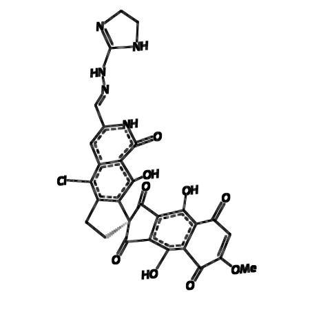 COC1=CC(=O)c2c(O)c3c(c(O)c2C1=O)C(=O)[C@]1(CCc2c1c(O)c1c(=O)[nH]c(/C=N/NC4=NCCN4)cc1c2Cl)C3=O